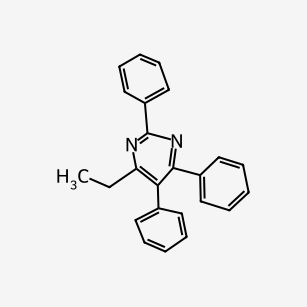 CCc1nc(-c2ccccc2)nc(-c2ccccc2)c1-c1ccccc1